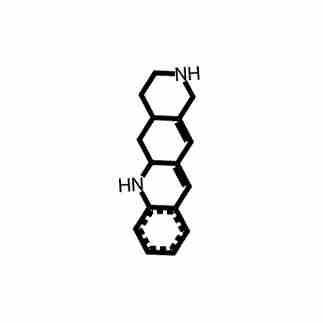 C1=C2CNCCC2CC2Nc3ccccc3C=C12